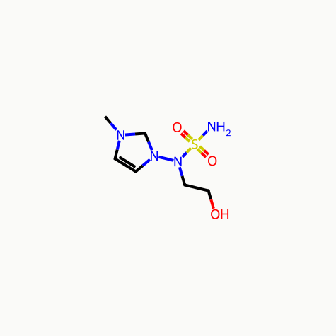 CN1C=CN(N(CCO)S(N)(=O)=O)C1